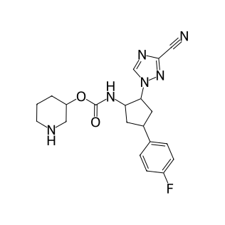 N#Cc1ncn(C2CC(c3ccc(F)cc3)CC2NC(=O)OC2CCCNC2)n1